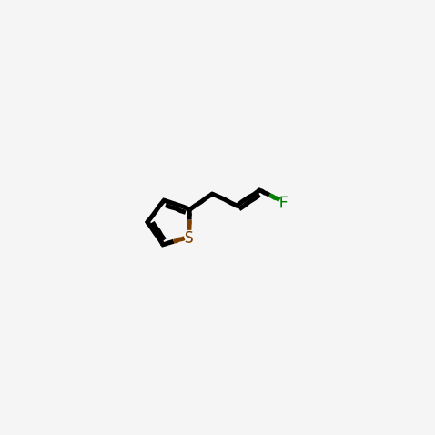 FC=CCc1cccs1